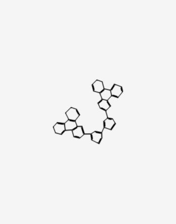 C1=Cc2c(c3c(c4ccc(-c5cccc(-c6cccc(-c7ccc8c9c(c%10ccccc%10c8c7)CCC=C9)c6)c5)cc24)=CCCC=3)CC1